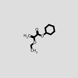 C=C(OCC)C(=O)OC1CCCCC1